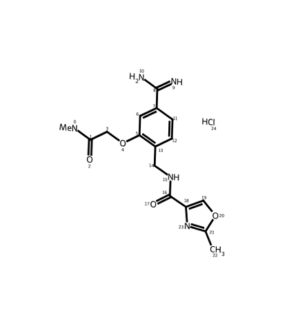 CNC(=O)COc1cc(C(=N)N)ccc1CNC(=O)c1coc(C)n1.Cl